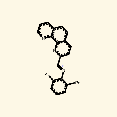 CC(C)c1cccc(C(C)C)c1/N=C/c1ccc2ccc3cccnc3c2n1